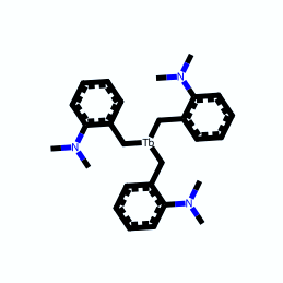 CN(C)c1ccccc1[CH2][Tb]([CH2]c1ccccc1N(C)C)[CH2]c1ccccc1N(C)C